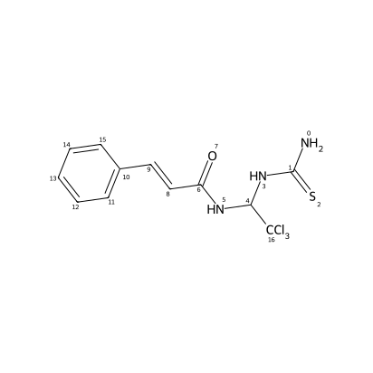 NC(=S)NC(NC(=O)/C=C/c1ccccc1)C(Cl)(Cl)Cl